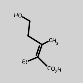 CCC(C(=O)O)=C(C)CCO